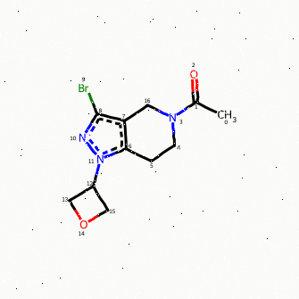 CC(=O)N1CCc2c(c(Br)nn2C2COC2)C1